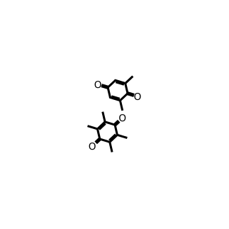 CC1=C(C)C(=O)C(C)=C(C)C1=O.CC1=CC(=O)C=C(C)C1=O